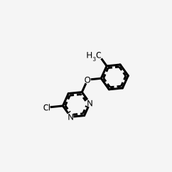 Cc1ccccc1Oc1cc(Cl)ncn1